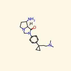 CN(C)CCC1(c2ccc(N3CN4CC[C@@H](N)[C@H]4C3=O)cc2)CC1